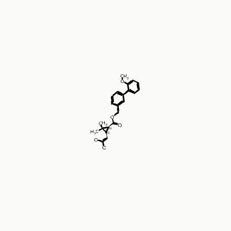 COc1ccccc1-c1cccc(COC(=O)[C@H]2[C@@H](C=C(Cl)Cl)C2(C)C)c1